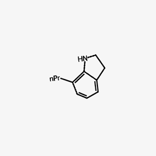 CCCc1cccc2c1NCC2